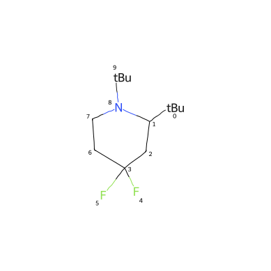 CC(C)(C)C1CC(F)(F)CCN1C(C)(C)C